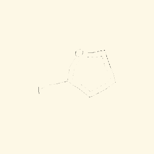 Ic1[c]cco1